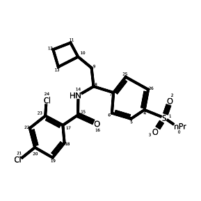 CCCS(=O)(=O)c1ccc(C(CC2CCC2)NC(=O)c2ccc(Cl)cc2Cl)cc1